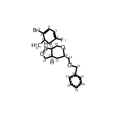 CC1C(Br)=CC=C(F)C1[C@]12CO[C@@H](COCc3ccccc3)C[C@H]1CON2